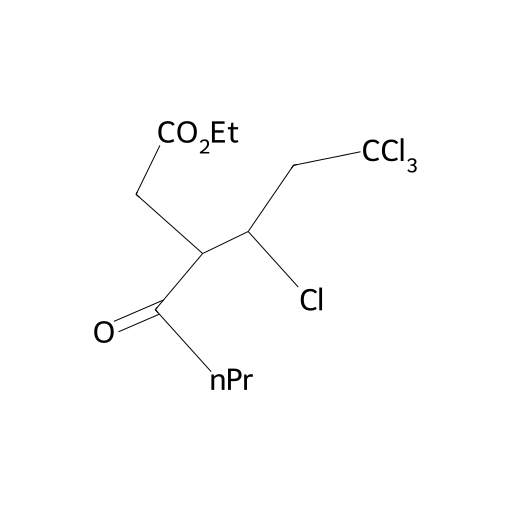 CCCC(=O)C(CC(=O)OCC)C(Cl)CC(Cl)(Cl)Cl